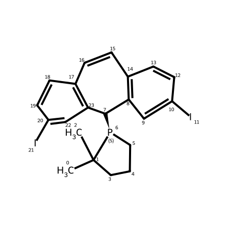 CC1(C)CCC[P@]1C1c2cc(I)ccc2C=Cc2ccc(I)cc21